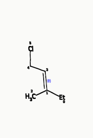 CC/C(C)=C/CCl